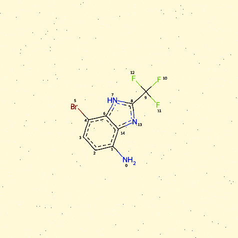 Nc1ccc(Br)c2[nH]c(C(F)(F)F)nc12